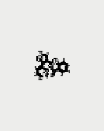 CC(c1ccccc1)n1c(=O)c2c(c3cccnc31)OCC2